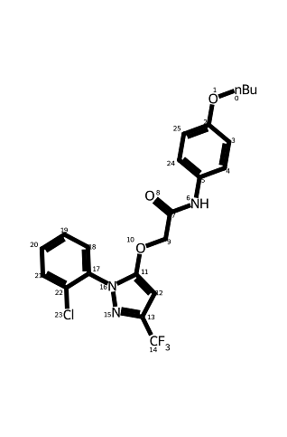 CCCCOc1ccc(NC(=O)COc2cc(C(F)(F)F)nn2-c2ccccc2Cl)cc1